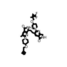 Cc1cc2c(nc1N1CCC(OCC34CC(C3)C4)CC1)C(CCc1cc3c(nc1N1CCC(OCC4(C)CC4(F)F)CC1)CNC3=O)NC2=O